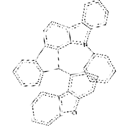 c1ccc(-n2c3ccccc3c3ccc4c(c32)C(c2cccc3oc5ccccc5c23)c2ccccc2-4)cc1